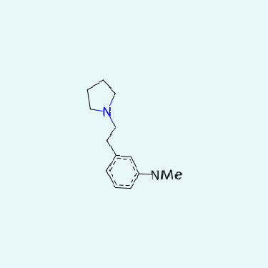 CNc1cccc(CCN2CCCC2)c1